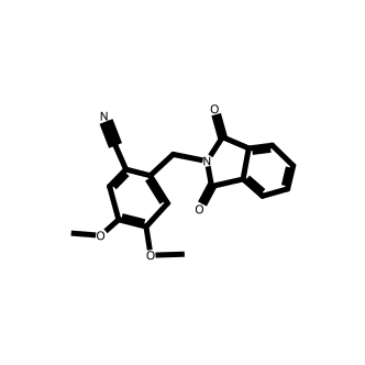 COc1cc(C#N)c(CN2C(=O)c3ccccc3C2=O)cc1OC